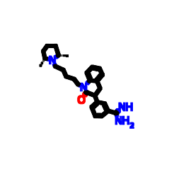 C[C@@H]1CCC[C@H](C)N1CCCCCN1C(=O)C(c2cccc(C(=N)N)c2)Cc2ccccc21